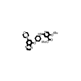 COC(=O)c1cc(N[C@H]2CC[C@@H](Oc3cc(N4CCOCC4)cc4nccnc34)CC2)ncc1OC(C)(C)C